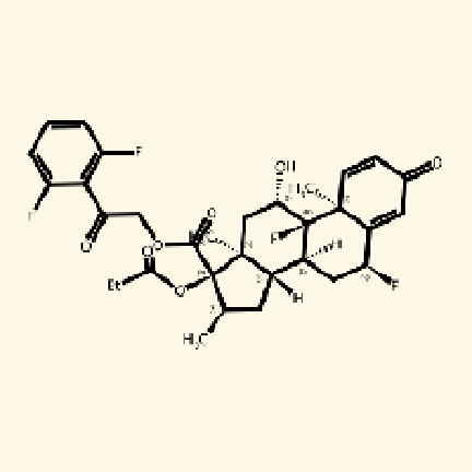 CCC(=O)O[C@]1(C(=O)OCC(=O)c2c(F)cccc2F)[C@H](C)C[C@H]2[C@@H]3C[C@H](F)C4=CC(=O)C=C[C@]4(C)[C@@]3(F)[C@@H](O)C[C@@]21C